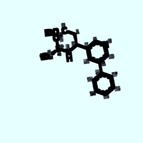 CCOC(=O)C[C@H](N[S@+]([O-])C(C)(C)C)c1cncc(-c2ccccc2)c1